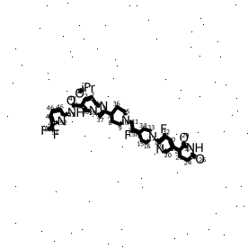 CC(C)Oc1cc2nc(C3CCN(CC(F)=C4CCN(c5ncc(C6CCC(=O)NC6=O)cc5F)CC4)CC3)cn2cc1C(=O)Nc1cccc(C(F)F)n1